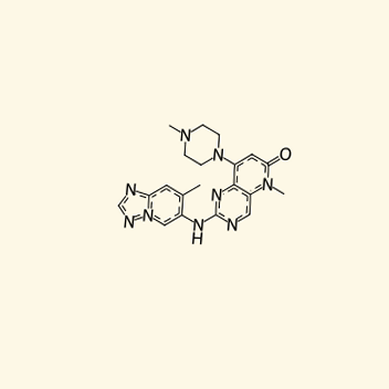 Cc1cc2ncnn2cc1Nc1ncc2c(n1)c(N1CCN(C)CC1)cc(=O)n2C